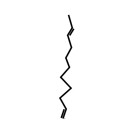 [CH]=CCCCCCC/C=C/C